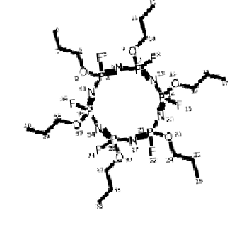 CCCOP1(F)=NP(F)(OCCC)=NP(F)(OCCC)=NP(F)(OCCC)=NP(F)(OCCC)=NP(F)(OCCC)=N1